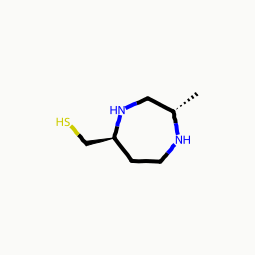 C[C@H]1CN[C@H](CS)CCN1